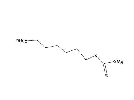 CCCCCCCCCCCCSC(=S)SC